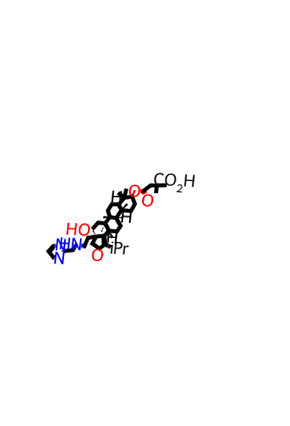 CC(C)C1=C2[C@H]3CC[C@@H]4[C@@]5(C)CC[C@H](OC(=O)CC(C)(C)C(=O)O)C(C)(C)[C@@H]5CC[C@@]4(C)[C@]3(C)CC[C@@]2([C@H](O)CNCc2ncccn2)CC1=O